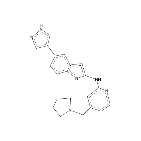 c1cc(CN2CCCC2)cc(Nc2cn3cc(-c4cn[nH]c4)ccc3n2)n1